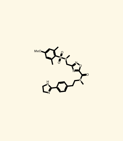 COc1cc(C)c(S(=O)(=O)N(C)Cc2noc(C(=O)N(C)CCc3ccc(C4=NCCN4)cc3)n2)c(C)c1